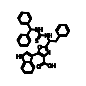 O=C(O)c1nc(C(Cc2ccccc2)NC(=S)NC(c2ccccc2)c2ccccc2)oc1-c1c[nH]c2ccccc12